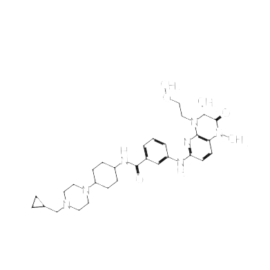 COCCN1c2nc(Nc3cccc(C(=O)NC4CCC(N5CCN(CC6CC6)CC5)CC4)c3)ccc2N(C)C(=O)[C@H]1C